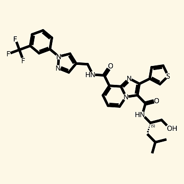 CC(C)C[C@@H](CO)NC(=O)c1c(-c2ccsc2)nc2c(C(=O)NCc3cnn(-c4cccc(C(F)(F)F)c4)c3)cccn12